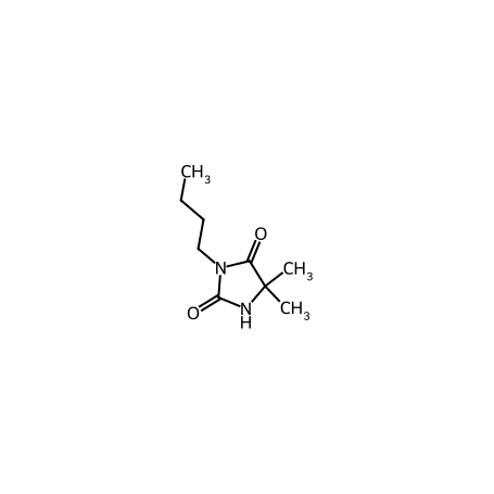 CCCCN1C(=O)NC(C)(C)C1=O